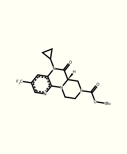 CC(C)(C)OC(=O)N1CCN2c3ncc(C(F)(F)F)cc3N(C3CC3)C(=O)[C@@H]2C1